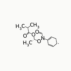 CC(C)C(=O)O[C@@H](C)ON(C=O)C1=CC[CH]C=C1